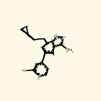 Nc1cc(-c2cc(CCC3CC3)c3[nH]nc(N)c3c2)ccn1